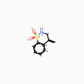 C=C1CNS(=O)(=O)c2ccccc21